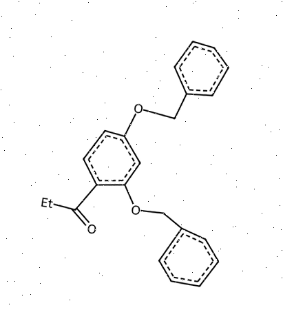 CCC(=O)c1ccc(OCc2ccccc2)cc1OCc1ccccc1